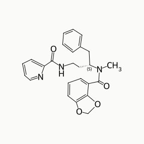 CN(C(=O)c1cccc2c1OCO2)[C@H](CCNC(=O)c1ccccn1)Cc1ccccc1